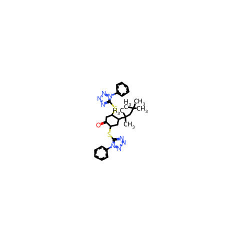 CC(C)(C)CC(C)(C)C1CC(Sc2nnnn2-c2ccccc2)C(=O)CC1Sc1nnnn1-c1ccccc1